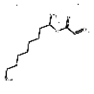 C=CC(=O)OC(C)CCCCCCCCCCCCCCCC